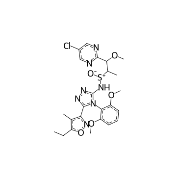 CCc1onc(-c2nnc(N[S+]([O-])C(C)C(OC)c3ncc(Cl)cn3)n2-c2c(OC)cccc2OC)c1C